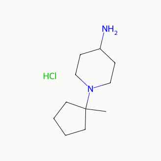 CC1(N2CCC(N)CC2)CCCC1.Cl